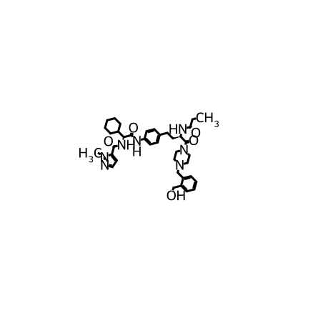 CCC(=O)N[C@H](CCc1ccc(NC(=O)[C@@H](NC(=O)c2ccnn2C)C2CCCCC2)cc1)C(=O)N1CCN(Cc2ccccc2CO)CC1